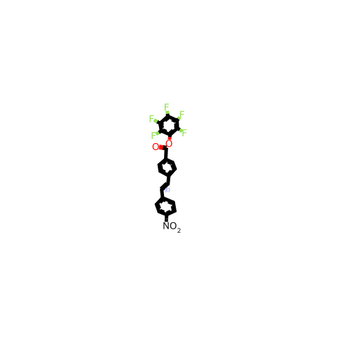 O=C(Oc1c(F)c(F)c(F)c(F)c1F)c1ccc(/C=C/c2ccc([N+](=O)[O-])cc2)cc1